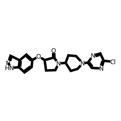 O=C1C(Oc2ccc3[nH]ncc3c2)CCN1C1CCN(c2cnc(Cl)cn2)CC1